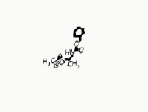 CC(CNC(=O)OCc1ccccc1)COS(C)(=O)=O